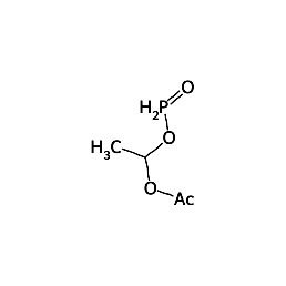 CC(=O)OC(C)O[PH2]=O